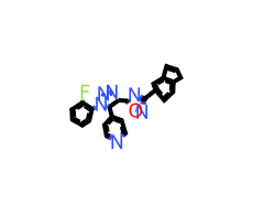 Fc1ccccc1N1N=NC(c2nc(-c3ccc4c(c3)C=CC4)no2)C1c1ccncc1